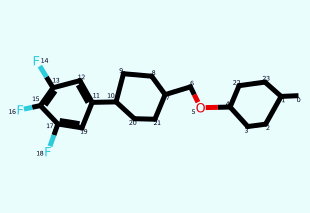 CC1CCC(OCC2CCC(c3cc(F)c(F)c(F)c3)CC2)CC1